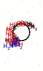 CC1OC(O[C@H]2/C=C/C=C/C=C/C=C/C=C/C=C/C=C/[C@H](C)[C@@H](O)[C@@H](C)[C@H](C)OC(=O)C[C@H](O)C[C@H](O)CC[C@@H](O)[C@H](O)C[C@H](O)C[C@]3(O)C[C@H](O)C(NC(=O)NCCN)[C@H](C2)O3)C(O)C(N)C1O